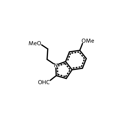 COCCn1c(C=O)cc2ccc(OC)cc21